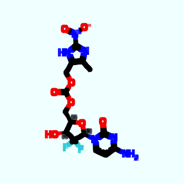 Cc1nc([N+](=O)[O-])[nH]c1COC(=O)OC[C@H]1O[C@@H](n2ccc(N)nc2=O)C(F)(F)[C@@H]1O